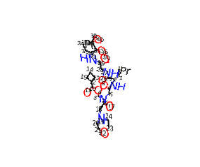 CC(C)C[C@H](NC(=O)CN(COC(=O)C1CCC1)C(=O)CN1CCOCC1)C(=O)NCC(=O)N[C@@H](CC(C)C)C(=O)[C@@]1(C)CO1